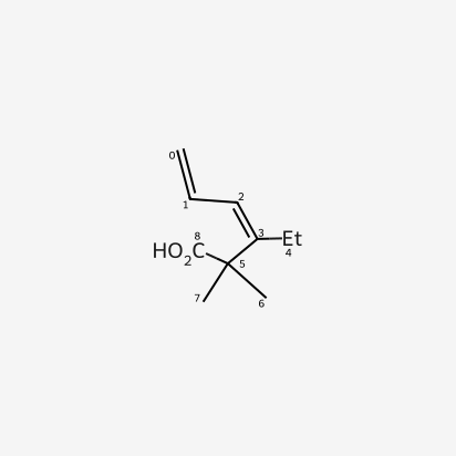 C=CC=C(CC)C(C)(C)C(=O)O